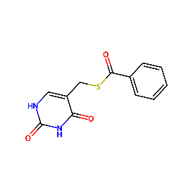 O=C(SCc1c[nH]c(=O)[nH]c1=O)c1ccccc1